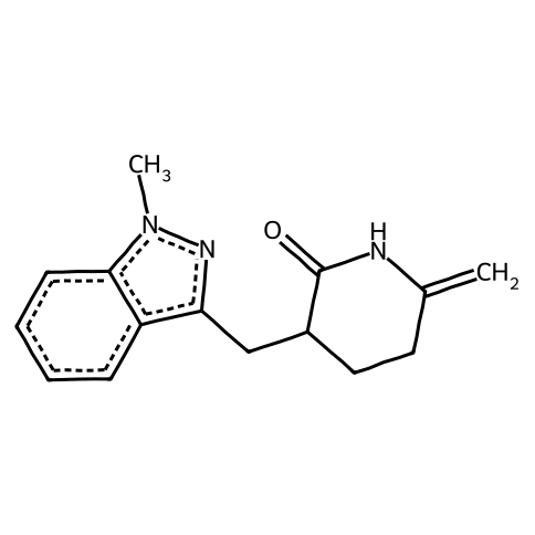 C=C1CCC(Cc2nn(C)c3ccccc23)C(=O)N1